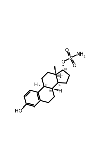 C[C@]12CC[C@@H]3c4ccc(O)cc4CC[C@H]3[C@@H]1CC[C@H]2OS(N)(=O)=O